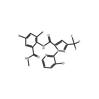 CNC(=O)c1cc(I)cc(I)c1NC(=O)c1cc(C(F)(F)F)nn1-c1ncccc1Cl